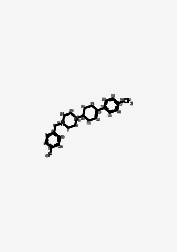 Fc1ccc(CN2CCN(C3CC=C(c4ccc(C(F)(F)F)cc4)CC3)CC2)cc1